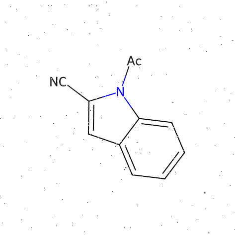 CC(=O)n1c(C#N)cc2ccccc21